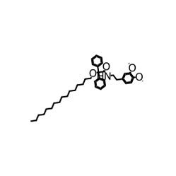 CCCCCCCCCCCCCCCCOC(C(=O)NCCc1ccc(OC)c(OC)c1)(c1ccccc1)c1ccccc1